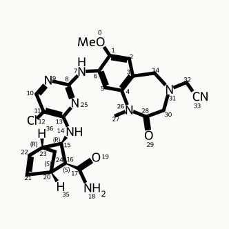 COc1cc2c(cc1Nc1ncc(Cl)c(N[C@H]3[C@@H](C(N)=O)[C@@H]4C=C[C@H]3C4)n1)N(C)C(=O)CN(CC#N)C2